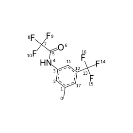 Cc1cc(NC(=O)C(F)(F)F)cc(C(F)(F)F)c1